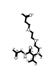 CC(=O)CCOCCOCCN(C)C(C(=O)NCC(C)=O)C(C)C